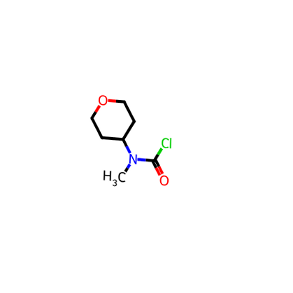 CN(C(=O)Cl)C1CCOCC1